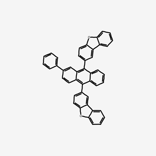 c1ccc(-c2ccc3c(-c4ccc5oc6ccccc6c5c4)c4ccccc4c(-c4ccc5oc6ccccc6c5c4)c3c2)cc1